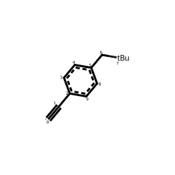 [C]#Cc1ccc(CC(C)(C)C)cc1